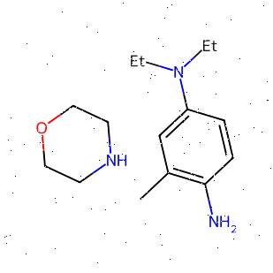 C1COCCN1.CCN(CC)c1ccc(N)c(C)c1